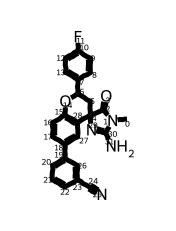 CN1C(=O)C2(CC(c3ccc(F)cc3)Oc3ccc(-c4cccc(C#N)c4)cc32)N=C1N